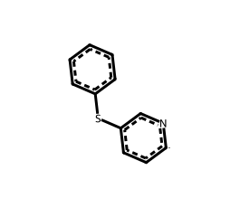 [c]1ccc(Sc2ccccc2)cn1